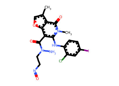 Cc1coc2c(C(=O)N(N)CCN=O)c(Nc3ccc(I)cc3Cl)n(C)c(=O)c12